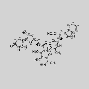 C[C@H](N)C(=O)N(C)[C@@H](C)[C@H](NC(=O)[C@H](C)NC(=O)N[C@@H](Cc1c[nH]c2ccccc12)C(=O)O)C(=O)N/C=C1/C[C@@H](O)[C@H](n2ccc(=O)[nH]c2=O)O1